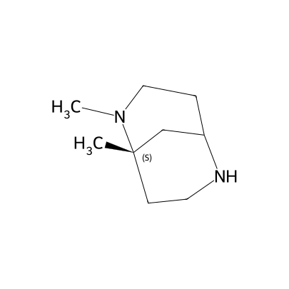 CN1CCC2C[C@]1(C)CCN2